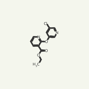 CCOC(=O)c1cccnc1Oc1cncc(Cl)c1